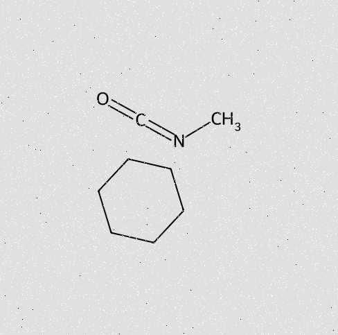 C1CCCCC1.CN=C=O